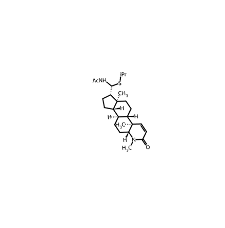 CC(=O)NC(SC(C)C)[C@H]1CC[C@H]2[C@@H]3CC[C@H]4N(C)C(=O)C=C[C@]4(C)[C@H]3CC[C@]12C